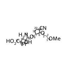 COCCCOc1cc(COCC(N)C(O)CC(C(=O)O)C(C)C)ccc1C#N